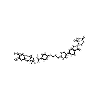 CC1(C)[C@H](NC(=O)c2ccc(CCCCN3CC=C(c4ccc5c(c4)CN(C4CCC(=O)NC4=O)C5=O)CC3)cc2)C(C)(C)[C@H]1Oc1ccc(C#N)c(Cl)c1